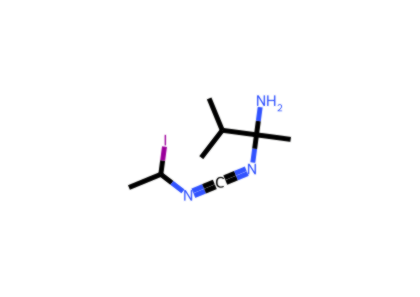 CC(I)N=C=NC(C)(N)C(C)C